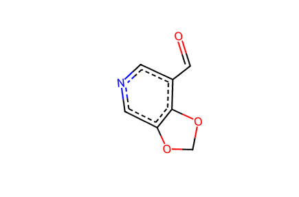 O=Cc1cncc2c1OCO2